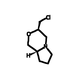 ClC[C@H]1CN2CCC[C@H]2CO1